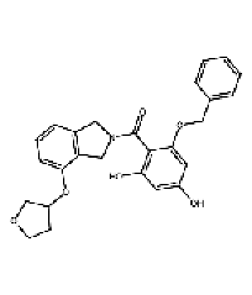 O=C(c1c(O)cc(O)cc1OCc1ccccc1)N1Cc2cccc(OC3CCOC3)c2C1